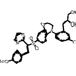 COc1ccc(CC(c2nccs2)S(=O)(=O)c2ccc3c(c2)OCCN3c2ccc(C(F)(F)F)cc2CC(O)CO)cc1